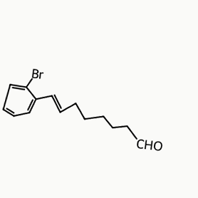 O=CCCCCC/C=C/c1ccccc1Br